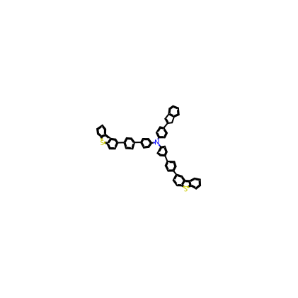 C1=C(c2ccc(N(c3ccc(-c4ccc(-c5ccc6sc7ccccc7c6c5)cc4)cc3)c3ccc(-c4ccc(-c5ccc6sc7ccccc7c6c5)cc4)cc3)cc2)Cc2ccccc21